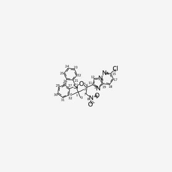 CC(C)(C)[Si](OC(C[N+](=O)[O-])c1cn2nc(Cl)ccc2n1)(c1ccccc1)c1ccccc1